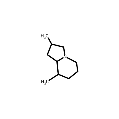 CC1CC2C(C)CCCN2C1